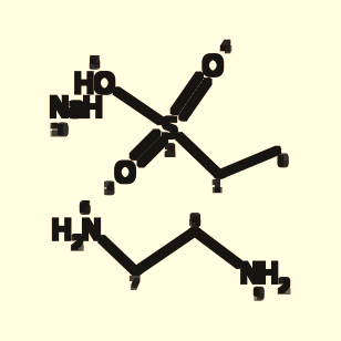 CCS(=O)(=O)O.NCCN.[NaH]